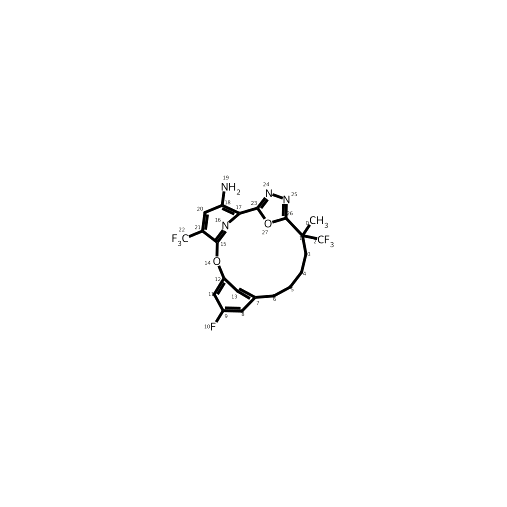 CC1(C(F)(F)F)CCCCc2cc(F)cc(c2)Oc2nc(c(N)cc2C(F)(F)F)-c2nnc1o2